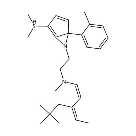 C/C=C(\C=C/N(C)CCN1C2=C([SiH](C)C)C=CC21c1ccccc1C)CC(C)(C)C